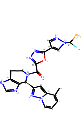 Cc1cccn2nc([C@H]3c4nc[nH]c4CCN3C(=O)c3nnc(-c4cnn(C(F)P)c4)o3)cc12